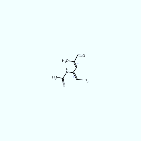 C/C=C(\C=C(/C)C=O)NC(N)=O